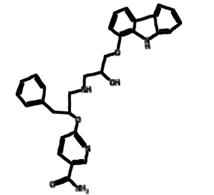 NC(=O)c1ccc(OC(CNCC(O)COc2cccc3c2[nH]c2ccccc23)Cc2ccccc2)nc1